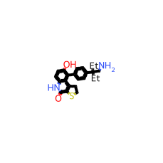 CCC(CC)(CN)c1ccc(-c2c(O)ccc3[nH]c(=O)c4c(c23)CCS4)cc1